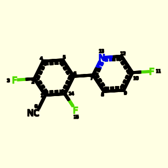 N#Cc1c(F)ccc(-c2ccc(F)cn2)c1F